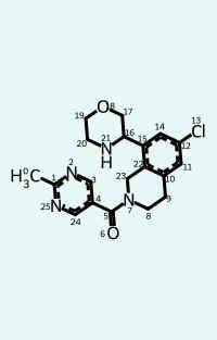 Cc1ncc(C(=O)N2CCc3cc(Cl)cc(C4COCCN4)c3C2)cn1